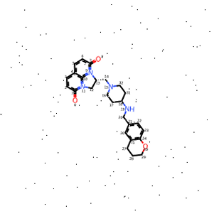 O=c1ccc2ccc(=O)n3c2n1C[C@H]3CN1CCC(NCc2ccc3c(c2)CCCO3)CC1